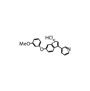 COc1cccc(Oc2ccc3c(-c4cccnc4)csc3c2)c1.Cl